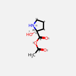 CC(=O)OC(=O)[C@]1(O)CCCN1